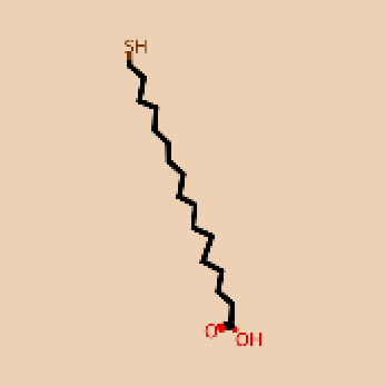 O=C(O)CCCCCCCCCCCCCCCCS